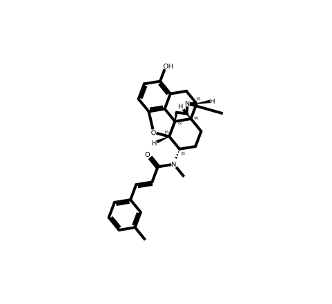 Cc1cccc(C=CC(=O)N(C)[C@H]2CC[C@H]3[C@H]4Cc5c(O)ccc6c5[C@@]3(CCN4C)[C@H]2O6)c1